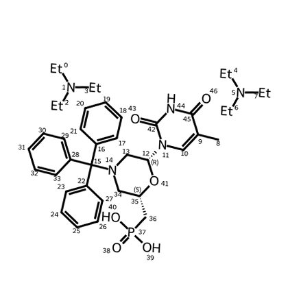 CCN(CC)CC.CCN(CC)CC.Cc1cn([C@H]2CN(C(c3ccccc3)(c3ccccc3)c3ccccc3)C[C@@H](CP(=O)(O)O)O2)c(=O)[nH]c1=O